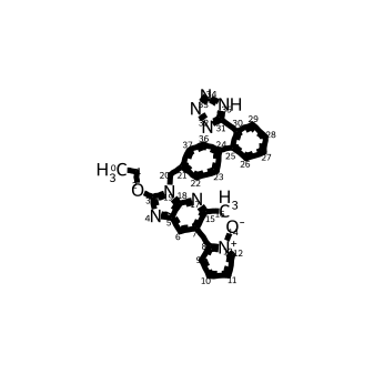 CCOc1nc2cc(-c3cccc[n+]3[O-])c(C)nc2n1Cc1ccc(-c2ccccc2-c2nnn[nH]2)cc1